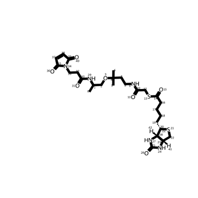 CC(COC(C)(C)CCNC(=O)CSC(=O)CCCC[C@@H]1SC[C@@H]2NC(=O)N[C@@H]21)NC(=O)CCN1C(=O)C=CC1=O